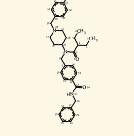 CCC(CC)C(=O)N(Cc1ccc(C(=O)NCc2ccccc2)cc1)C1CCN(Cc2ccc(Cl)cc2)CC1